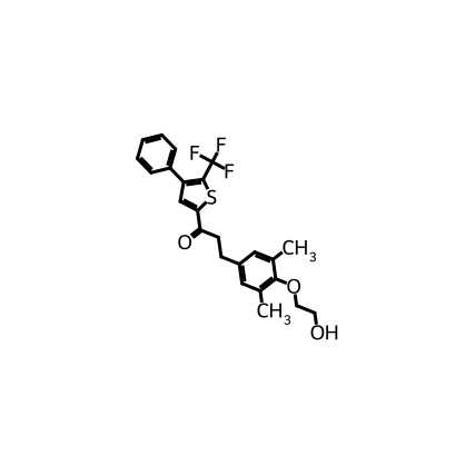 Cc1cc(CCC(=O)c2cc(-c3ccccc3)c(C(F)(F)F)s2)cc(C)c1OCCO